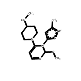 CNC1CCN(C2=CC=NC(OC)N2c2cc(C)[nH]n2)CC1